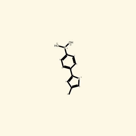 Cc1csc(-c2ccc(B(O)O)cc2)c1